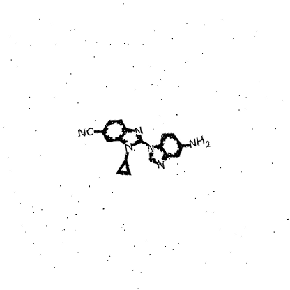 N#Cc1ccc2nc(-n3cnc4cc(N)ccc43)n(C3CC3)c2c1